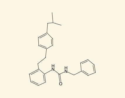 CC(C)Cc1ccc(CCc2ccccc2NC(=O)NCc2ccccc2)cc1